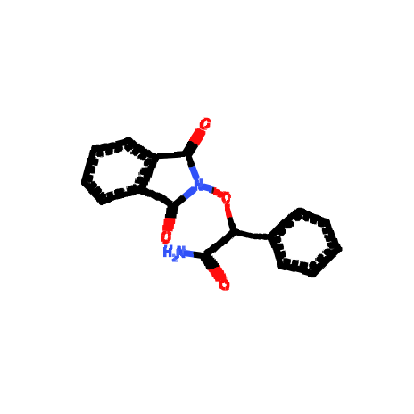 NC(=O)C(ON1C(=O)c2ccccc2C1=O)c1ccccc1